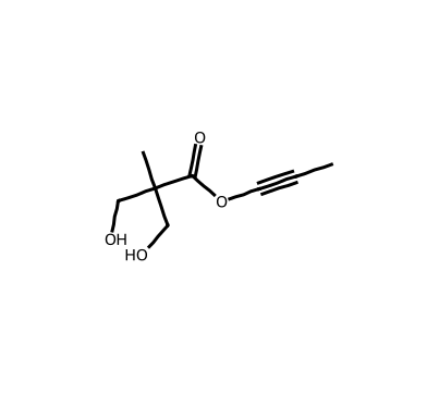 CC#COC(=O)C(C)(CO)CO